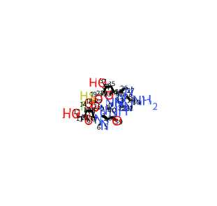 Nc1nc2c(ncn2[C@@H]2O[C@H](CO)[C@@H](F)[C@H]2OP(=O)(S)OC[C@H]2O[C@@H](c3cnc4c(N)ncnn34)C[C@@H]2O)c(=O)[nH]1